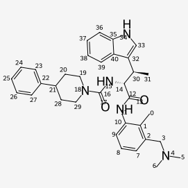 Cc1c(CN(C)C)cccc1NC(=O)[C@H](NC(=O)N1CCC(c2ccccc2)CC1)[C@H](C)c1c[nH]c2ccccc12